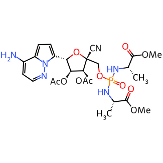 COC(=O)[C@H](C)NP(=O)(N[C@@H](C)C(=O)OC)OC[C@@]1(C#N)O[C@@H](c2ccc3c(N)ccnn23)[C@H](OC(C)=O)[C@@H]1OC(C)=O